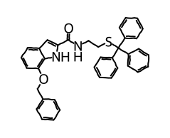 O=C(NCCSC(c1ccccc1)(c1ccccc1)c1ccccc1)c1cc2cccc(OCc3ccccc3)c2[nH]1